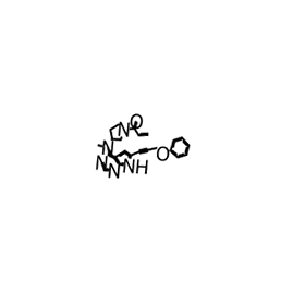 C=CC(=O)N1CCC(N(C)c2ncnc3[nH]c(C#CCOc4ccccc4)cc23)C1